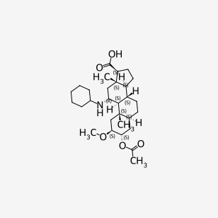 CO[C@H]1C[C@@]2(C)[C@@H](CC[C@@H]3[C@@H]2[C@H](NC2CCCCC2)C[C@]2(C)[C@@H](C(=O)O)CC[C@@H]32)C[C@@H]1OC(C)=O